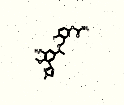 COc1c(N)cc(C(C)OCc2nc(OC(N)=O)ccc2F)cc1-c1ccn(C)n1